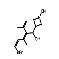 C=C(C)/C(=C(C)\C=C/CCC)C(O)C1CB(C#N)C1